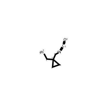 C[C](C)CC1(CN=C=O)CC1